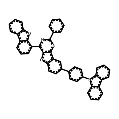 c1ccc(-c2nc(-c3cccc4c3oc3ccccc34)c3oc4ccc(-c5ccc(-n6c7ccccc7c7ccccc76)cc5)cc4c3n2)cc1